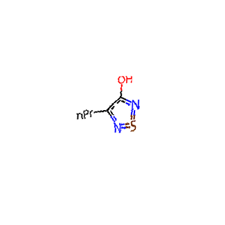 CCCc1nsnc1O